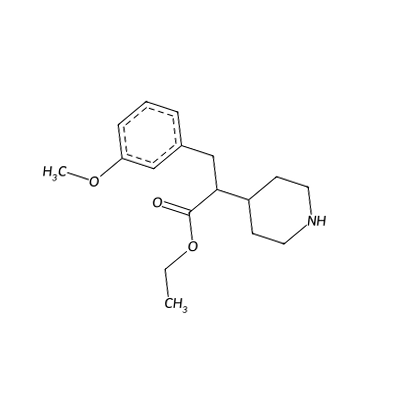 CCOC(=O)C(Cc1cccc(OC)c1)C1CCNCC1